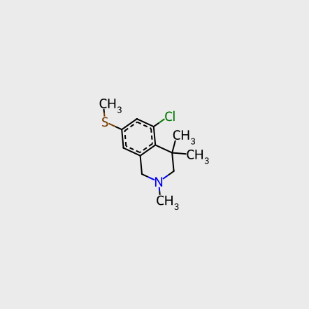 CSc1cc(Cl)c2c(c1)CN(C)CC2(C)C